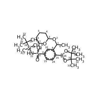 CC(OC1CCCCO1)c1cc(S(=O)(=O)N[Si](C)(C)C(C)(C)C)ccc1B1OC(C)(C)C(C)(C)O1